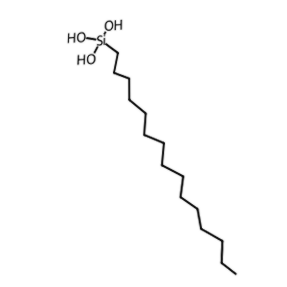 CCCCCCCCCCCCCCC[Si](O)(O)O